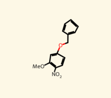 COc1cc(OCc2ccccc2)ccc1[N+](=O)[O-]